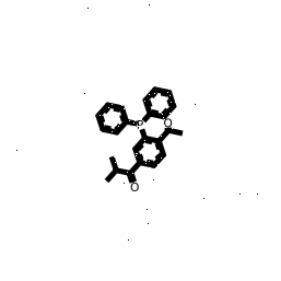 CC(=O)c1ccc(C(=O)C(C)C)cc1P(c1ccccc1)c1ccccc1